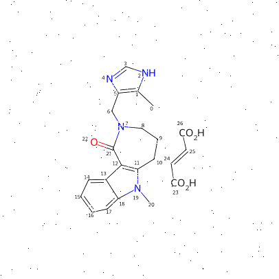 Cc1[nH]cnc1CN1CCCc2c(c3ccccc3n2C)C1=O.O=C(O)C=CC(=O)O